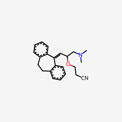 CN(C)CC(C=C1c2ccccc2CCc2ccccc21)OCCC#N